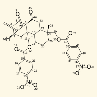 C=C1C(=O)[C@]23CC[C@H]1CC2[C@]1(COC(=O)c2ccc([N+](=O)[O-])cc2)CCC[C@@](C)(COC(=O)c2ccc([N+](=O)[O-])cc2)C1CC3=O